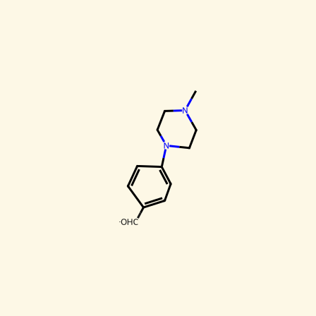 CN1CCN(c2ccc([C]=O)cc2)CC1